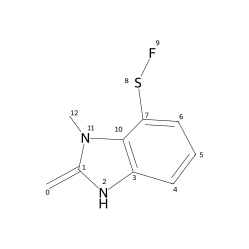 C=C1Nc2cccc(SF)c2N1C